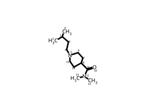 CC(C)CCN1CCC(C(=O)N(C)C)CC1